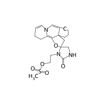 CS(=O)(=O)OCCN1C(=O)NCC12CC13CCCCC1=CN1C=CCCC1=C3O2